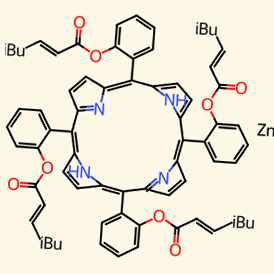 CCC(C)C=CC(=O)Oc1ccccc1-c1c2nc(c(-c3ccccc3OC(=O)C=CC(C)CC)c3ccc([nH]3)c(-c3ccccc3OC(=O)C=CC(C)CC)c3nc(c(-c4ccccc4OC(=O)C=CC(C)CC)c4ccc1[nH]4)C=C3)C=C2.[Zn]